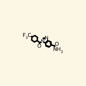 NC(=O)c1ccc2c(c1)ncn2C(=O)C1CCC(C(F)(F)F)CC1